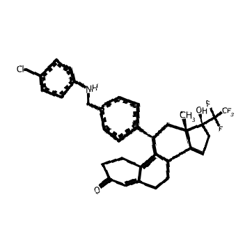 C[C@]12C[C@H](c3ccc(CNc4ccc(Cl)cc4)cc3)C3=C4CCC(=O)C=C4CCC3C1CC[C@@]2(O)C(F)(F)C(F)(F)F